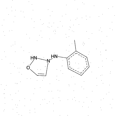 Cc1ccccc1NN1C=CON1